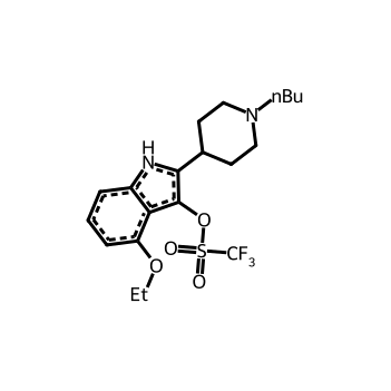 CCCCN1CCC(c2[nH]c3cccc(OCC)c3c2OS(=O)(=O)C(F)(F)F)CC1